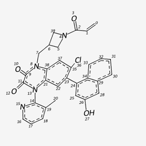 C=CC(=O)N1CC(Cn2c(=O)c(=O)n(-c3ncccc3C)c3cc(-c4cc(O)cc5ccccc45)c(Cl)cc32)C1